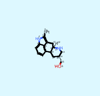 CCCc1[nH]c2cccc3c2c1C[C@H]1NC[C@H](CO)CC31